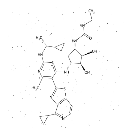 CCNC(=O)N[C@H]1C[C@@H](Nc2nc(N[C@H](C)C3CC3)nc(C)c2-c2nc3c(C4CC4)nccc3s2)[C@H](O)[C@@H]1O